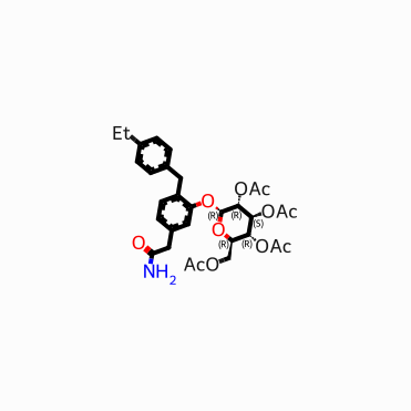 CCc1ccc(Cc2ccc(CC(N)=O)cc2O[C@H]2O[C@H](COC(C)=O)[C@@H](OC(C)=O)[C@H](OC(C)=O)[C@H]2OC(C)=O)cc1